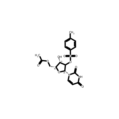 CC(=O)OC[C@H]1O[C@@H](n2ccc(=O)[nH]c2=O)C(OS(=O)(=O)c2ccc(C)cc2)[C@H]1O